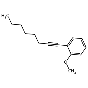 CCCCCCC#Cc1ccccc1OC